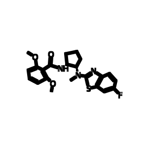 COc1cccc(OC)c1C(=O)N[C@@H]1CCC[C@@H]1N(C)c1nc2ccc(F)cc2s1